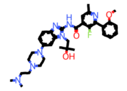 COc1ccccc1-c1nc(C)cc(C(=O)Nc2nc3ccc(N4CCN(CCN(C)C)CC4)cc3n2CC(C)(C)O)c1F